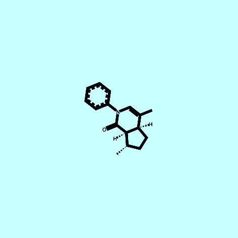 CC1=CN(c2ccccc2)C(=O)[C@H]2[C@@H]1CC[C@@H]2C